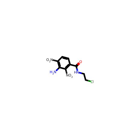 Nc1c([N+](=O)[O-])ccc(C(=O)NCCCl)c1[N+](=O)[O-]